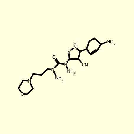 N#CC1C(C2C=CC([N+](=O)[O-])CC2)NSC1N(N)C(=O)N(N)CCCN1CCOCC1